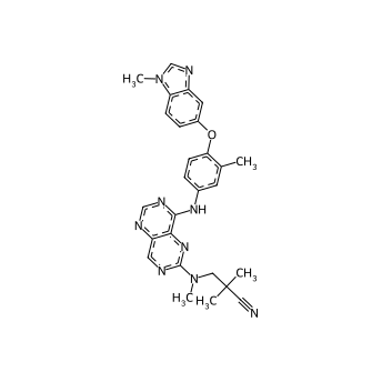 Cc1cc(Nc2ncnc3cnc(N(C)CC(C)(C)C#N)nc23)ccc1Oc1ccc2c(c1)ncn2C